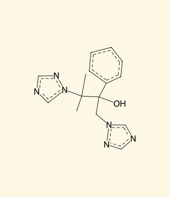 CC(C)(n1cncn1)C(O)(Cn1cncn1)c1ccccc1